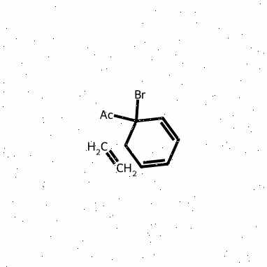 C=C.CC(=O)C1(Br)C=CC=CC1